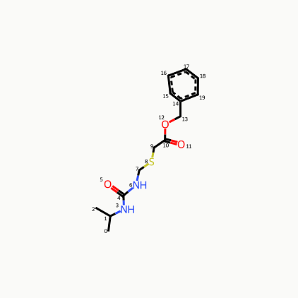 CC(C)NC(=O)NCSCC(=O)OCc1ccccc1